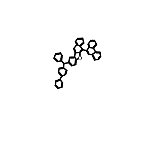 c1ccc(-c2ccc(C(c3ccccc3)c3ccc4oc5c(-c6cc7ccccc7c7ccccc67)c6ccccc6cc5c4c3)cc2)cc1